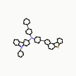 c1ccc(-c2ccc(N(c3ccc(-c4ccc5c(ccc6sc7ccccc7c65)c4)cc3)c3ccc4c(c3)c3ccccc3n4-c3ccccc3)cc2)cc1